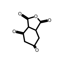 O=C1CC(=O)C2C(=O)OC(=O)C2C1